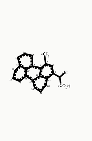 CCC(C(=O)O)c1cc(C(F)(F)F)c2c3cccc4cccc(c5cccc1c52)c43